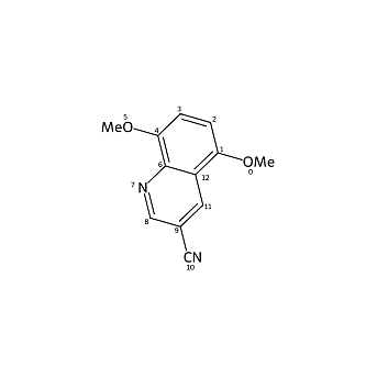 COc1ccc(OC)c2ncc(C#N)cc12